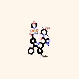 COc1ccc2c(c1)C=C(c1c(C(=O)N3[C@H](C)C[C@](C)(O)C[C@@H]3C)cnn1C)Cn1c-2c(C2CCCCC2)c2ccc(C(=O)NS(=O)(=O)N3CCOCC3)cc21